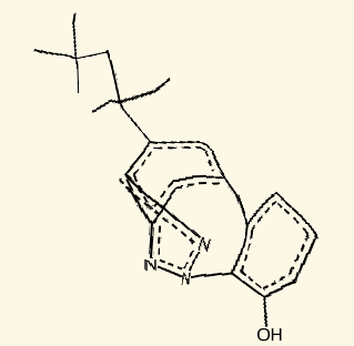 CC(C)(C)CC(C)(C)c1cc2cc3nn(nc13)-c1c(O)cccc1-2